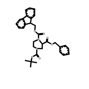 CC(C)(C)OC(=O)N1CCN(C(=O)OCC2c3ccccc3-c3ccccc32)C(C(=O)OCc2ccccc2)C1